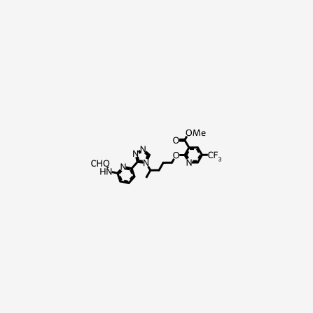 COC(=O)c1cc(C(F)(F)F)cnc1OCCCC(C)n1cnnc1-c1cccc(NC=O)n1